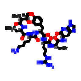 CN[C@H](C(=O)N[C@@H](CC(=O)O)C(=O)N[C@@H](CCCCN)C(=O)N[C@@H](Cc1ccc(O)cc1)C(=O)N[C@@H](CCCNC(=N)N)C(=O)N[C@@H](CC(C)C)C(=O)N[C@@H](Cc1c[nH]cn1)C(N)=O)[C@@H](C)O